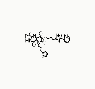 CC(F)c1nc2c(=O)n(CCCCc3noc(-c4ccccn4)n3)c(=O)n(CCCc3cccs3)c2c(=O)[nH]1